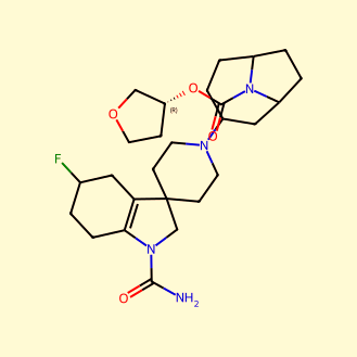 NC(=O)N1CC2(CCN(C3CCC4CCC(C3)N4C(=O)O[C@@H]3CCOC3)CC2)C2=C1CCC(F)C2